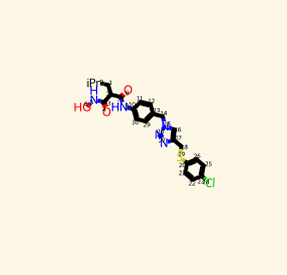 CC(C)CC(C(=O)NO)C(=O)Nc1ccc(Cn2cc(CSc3ccc(Cl)cc3)nn2)cc1